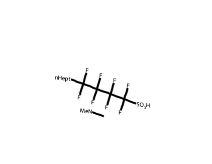 CCCCCCCC(F)(F)C(F)(F)C(F)(F)C(F)(F)S(=O)(=O)O.CNC